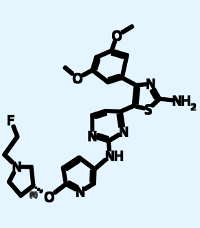 COc1cc(OC)cc(-c2nc(N)sc2-c2ccnc(Nc3ccc(O[C@@H]4CCN(CCF)C4)nc3)n2)c1